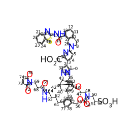 Cc1c(-c2ccc(N3CCc4cccc(C(=O)Nc5nc6ccccc6s5)c4C3)nc2C(=O)O)cnn1CC12CC3(C)CC(C)(C1)CC(OCCN(CCS(=O)(=O)O)C(=O)OCc1[c]cc(CCCCNC(=O)CCN4C(=O)C=CC4=O)cc1)(C3)C2